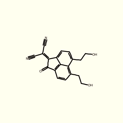 N#CC(C#N)=c1c(=O)c2ccc(CCO)c3c(CCO)ccc1c32